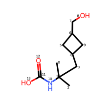 CC(C)(CC1CC(CO)C1)NC(=O)O